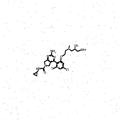 CN(CCOc1cc(Cl)cc(Cl)c1-c1nc(N)nc2c1CN(C(=O)NC1CC1)C2)CC(O)CO